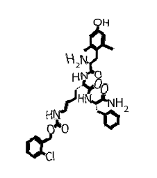 Cc1cc(O)cc(C)c1C[C@H](N)C(=O)N[C@@H](CCCCNC(=O)OCc1ccccc1Cl)C(=O)N[C@@H](Cc1ccccc1)C(N)=O